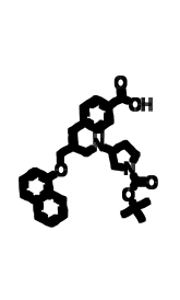 CC(C)(C)OC(=O)N1CCC(NC/C(=C\c2ccc(C(=O)O)cc2)COc2cccc3ccccc23)C1